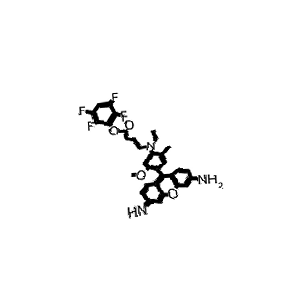 CCN(CCCC(=O)Oc1c(F)c(F)cc(F)c1F)c1cc(OC)c(-c2c3ccc(=N)cc-3oc3cc(N)ccc23)cc1C